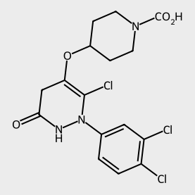 O=C1CC(OC2CCN(C(=O)O)CC2)=C(Cl)N(c2ccc(Cl)c(Cl)c2)N1